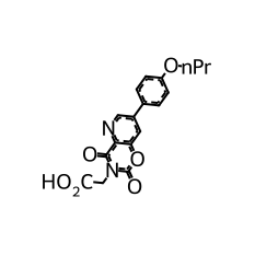 CCCOc1ccc(-c2cnc3c(=O)n(CC(=O)O)c(=O)oc3c2)cc1